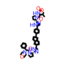 COC(=O)N[C@H](C(=O)N1CCC[C@H]1c1ncc(-c2ccc(-c3ccc4cc(-c5cnc([C@@H]6CCCN6C(=O)C(c6ccccc6)N6CCOCC6)[nH]5)ccc4c3)cc2)[nH]1)C(C)C